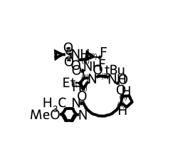 CC[C@@H]1[C@@H]2CN(C(=O)[C@H](C(C)(C)C)NC(=O)O[C@@H]3CCC[C@H]3CCCCCC3=NC4=CC=C(OC)C(C)C4N=C3O2)[C@@H]1C(=O)N[C@]1(C(=O)NS(=O)(=O)C2CC2)C[C@H]1C(F)F